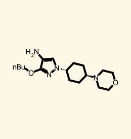 CCCCOc1nn([C@H]2CC[C@H](N3CCOCC3)CC2)cc1N